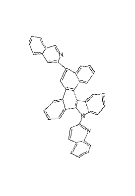 c1ccc2cc(-c3cc4c5ccccc5c5c(c6ccccc6n5-c5ccc6ccccc6n5)c4c4ccccc34)ncc2c1